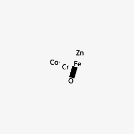 [Co].[Cr].[O]=[Fe].[Zn]